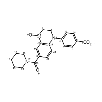 O=C(O)c1ccc(N2CC[S+]([O-])c3cc(C(=O)N4CCCCC4)ccc32)cc1